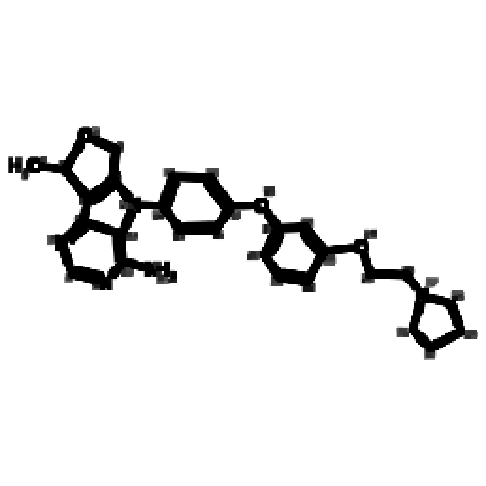 CC1OCc2c1c1ncnc(N)c1n2-c1ccc(Oc2cccc(OCCN3CCCC3)c2)cc1